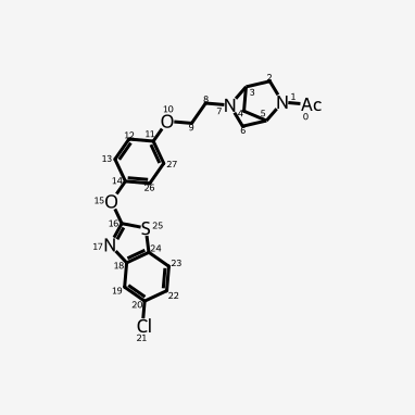 CC(=O)N1CC2CC1CN2CCOc1ccc(Oc2nc3cc(Cl)ccc3s2)cc1